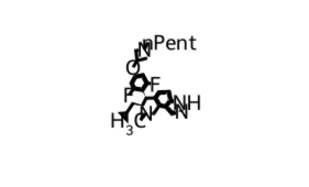 CCCCCN1CC(Oc2cc(F)c([C@@H]3c4ccc5[nH]ncc5c4CN(C)[C@H]3CC3CC3)c(F)c2)C1